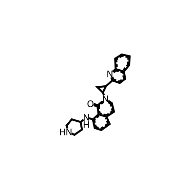 O=c1c2c(NC3CCNCC3)cccc2ccn1C1CC1c1ccc2ccccc2n1